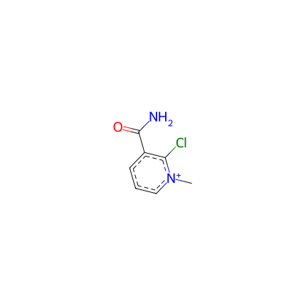 C[n+]1cccc(C(N)=O)c1Cl